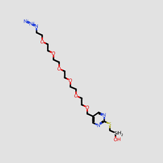 [N-]=[N+]=NCCOCCOCCOCCOCCOCCOCc1cnc(SC[SiH2]O)nc1